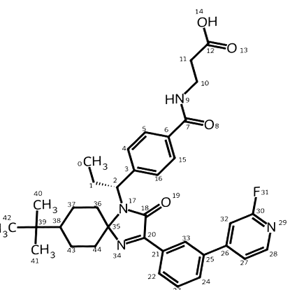 CC[C@H](c1ccc(C(=O)NCCC(=O)O)cc1)N1C(=O)C(c2cccc(-c3ccnc(F)c3)c2)=NC12CCC(C(C)(C)C)CC2